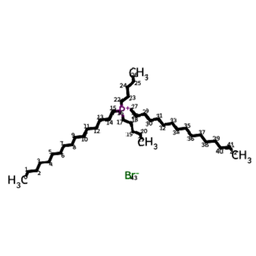 CCCCCCCCCCCCCCCC[P+](CCCCC)(CCCCC)CCCCCCCCCCCCCCCC.[Br-]